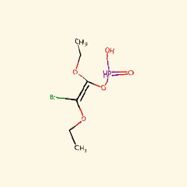 CCOC(Br)=C(OCC)O[PH](=O)O